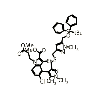 CCc1c(C(=O)OC)n(CCC(=O)OC)c2ccc(Cl)c(-c3c(CSCc4cc(CO[Si](c5ccccc5)(c5ccccc5)C(C)(C)C)n(C)n4)nn(C)c3C)c12